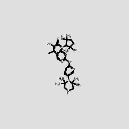 BC1(B)CCC(B)(B)C1n1c(=O)c(C(C)=O)c(C)c2cnc(Nc3ccc(N4C(B)(B)CNCC4(B)B)cn3)nc21